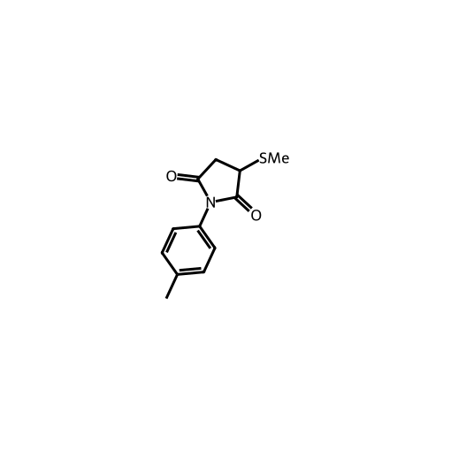 CSC1CC(=O)N(c2ccc(C)cc2)C1=O